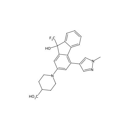 Cn1cc(-c2cc(N3CCC(C(=O)O)CC3)cc3c2-c2ccccc2C3(O)C(F)(F)F)cn1